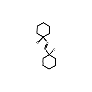 ClC1(/N=N/C2(Cl)CCCCC2)CCCCC1